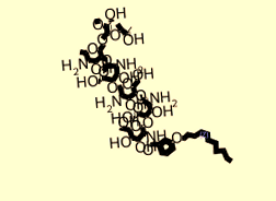 CCCCCC/C=C\CCCOc1cccc(C(=O)NC2C(OC3C(O)C(N)[C@H](OC4C(CO)OC(OC5C(O)C(N)[C@H](OC6C(COC(OC(C)[C@H](C)O)[C@@H](CO)OC)OC(C)C(N)C6O)O[C@H]5CO)C(N)C4O)O[C@H]3CO)OC(CO)C(O)C2O)c1